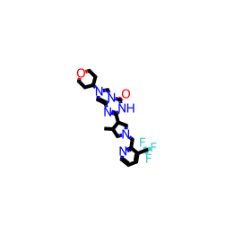 CC1CN(Cc2ncccc2C(F)(F)F)CC1C1=NC2=CN(C3CCOCC3)CN2C(=O)N1